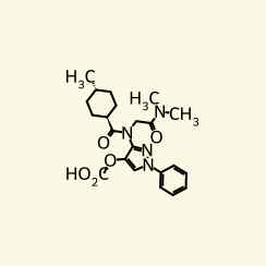 CN(C)C(=O)CN(c1nn(-c2ccccc2)cc1OC(=O)O)C(=O)[C@H]1CC[C@H](C)CC1